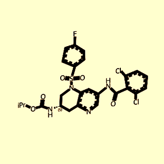 CC(C)OC(=O)N[C@H]1Cc2ncc(NC(=O)c3c(Cl)cccc3Cl)cc2N(S(=O)(=O)c2ccc(F)cc2)C1